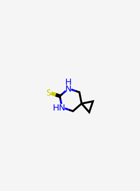 S=C1NCC2(CC2)CN1